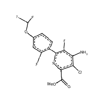 COC(=O)c1nc(-c2ccc(OC(F)F)cc2F)c(F)c(N)c1Cl